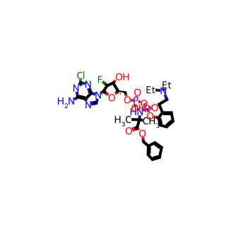 CCN(CC)CCc1ccccc1OP(=O)(NC(C)(C)C(=O)OCc1ccccc1)OP(=O)(O)OC[C@H]1O[C@@H](n2cnc3c(N)nc(Cl)nc32)C(F)C1O